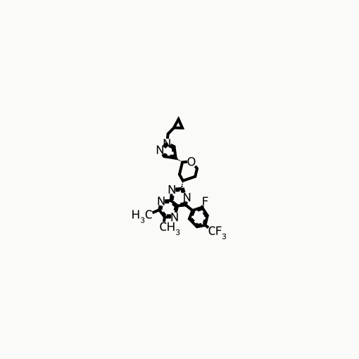 Cc1nc2nc([C@H]3CCO[C@@H](c4cnn(CC5CC5)c4)C3)nc(-c3ccc(C(F)(F)F)cc3F)c2nc1C